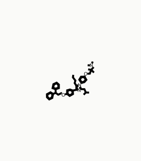 CCCCc1c(-c2ccc(OCCC(c3ccccc3)c3ccccc3)cc2)nc(CC(C)C)n1-c1ccc(OCC(C)(C)CN(C)C)cc1